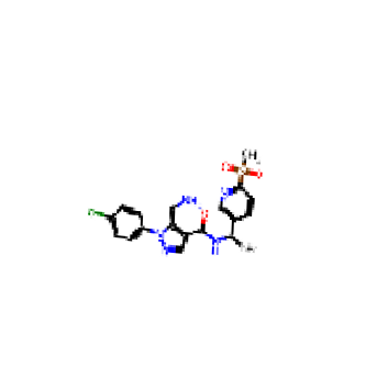 CCCC(NC(=O)c1cnn(-c2ccc(Cl)cc2)c1CN)c1ccc(S(C)(=O)=O)nc1